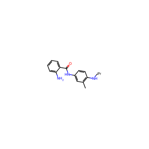 Cc1cc(NC(=O)c2ccccc2N)ccc1NC(C)C